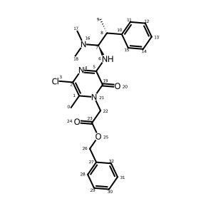 Cc1c(Cl)nc(N[C@H]([C@H](C)c2ccccc2)N(C)C)c(=O)n1CC(=O)OCc1ccccc1